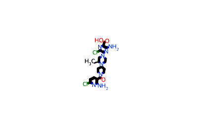 CC[C@H]1CN(c2nc(N)c(C(=O)O)nc2Cl)CCN1C1CCN(C(=O)c2ccc(Cl)nc2N)CC1